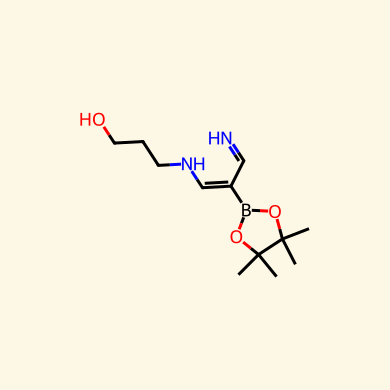 CC1(C)OB(/C(C=N)=C/NCCCO)OC1(C)C